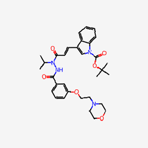 CC(C)N(NC(=O)c1cccc(OCCN2CCOCC2)c1)C(=O)C=Cc1cn(C(=O)OC(C)(C)C)c2ccccc12